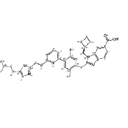 O=C(O)c1ccc2nc(Cc3cc(F)c(-c4cccc(OCc5nnc(OCC(F)F)s5)n4)cc3F)n(C[C@@H]3CCO3)c2c1